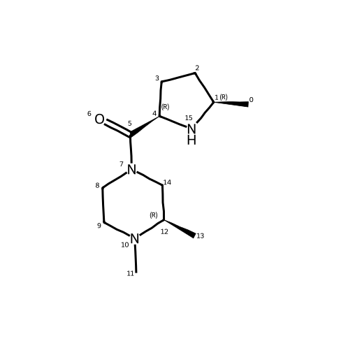 C[C@@H]1CC[C@H](C(=O)N2CCN(C)[C@H](C)C2)N1